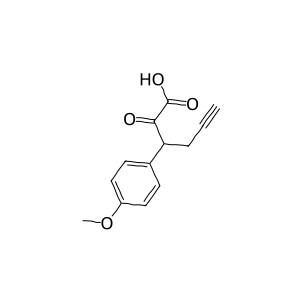 C#CCC(C(=O)C(=O)O)c1ccc(OC)cc1